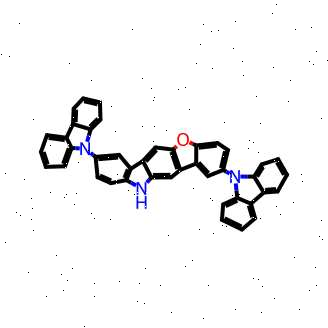 c1ccc2c(c1)c1ccccc1n2-c1ccc2[nH]c3cc4c(cc3c2c1)oc1ccc(-n2c3ccccc3c3ccccc32)cc14